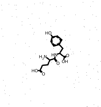 NC(CCC(=O)O)C(=O)NC(Cc1ccc(O)cc1)C(=O)O